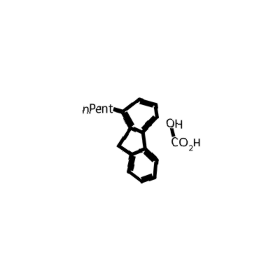 CCCCCc1cccc2c1Cc1ccccc1-2.O=C(O)O